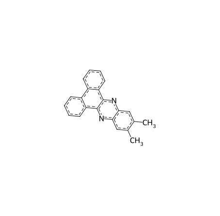 Cc1cc2nc3c4ccccc4c4ccccc4c3nc2cc1C